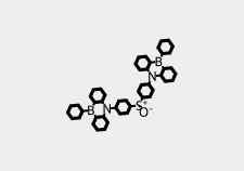 [O-][S+](c1ccc(N2c3ccccc3B(c3ccccc3)c3ccccc32)cc1)c1ccc(N2c3ccccc3B(c3ccccc3)c3ccccc32)cc1